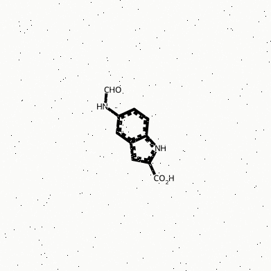 O=CNc1ccc2[nH]c(C(=O)O)cc2c1